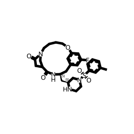 Cc1cccc(S(=O)(=O)N2CCN[C@@H](C[C@@H]3Cc4cc(F)cc(c4)OCCCCN4CC(CC4=O)C(=O)N3)C2)c1